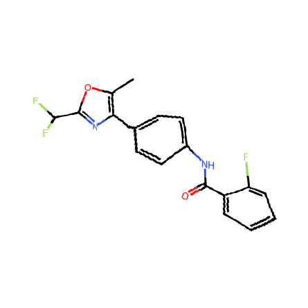 Cc1oc(C(F)F)nc1-c1ccc(NC(=O)c2ccccc2F)cc1